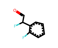 O=CC(F)c1ccccc1F